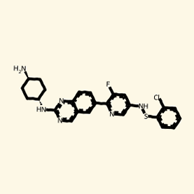 N[C@H]1CC[C@H](Nc2ncc3cc(-c4ncc(NSc5ccccc5Cl)cc4F)ccc3n2)CC1